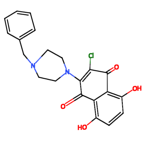 O=C1C(Cl)=C(N2CCN(Cc3ccccc3)CC2)C(=O)c2c(O)ccc(O)c21